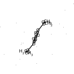 C=C(C)C(=O)OCCCCCCCCOc1ccc(C(=O)Oc2ccc(OC(=O)c3ccc(OCCCCCCCCOC(=O)C(=C)C)cc3F)cc2)c(F)c1